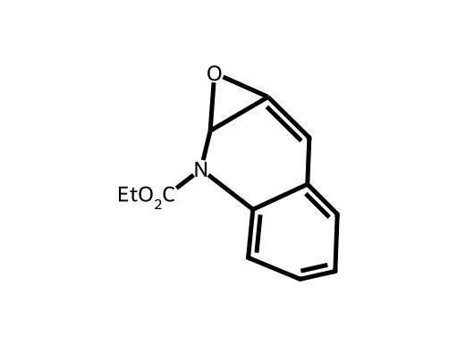 CCOC(=O)N1c2ccccc2C=C2OC21